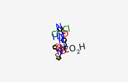 O=C(Nc1ccc(C[C@H](NS(=O)(=O)N(Cc2cccs2)Cc2cccs2)C(=O)O)cc1)c1c(Cl)cncc1Cl